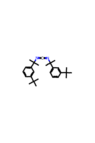 CC(C)(C)c1cccc(C(C)(C)N=C=NC(C)(C)c2cccc(C(C)(C)C)c2)c1